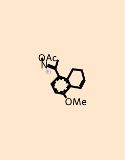 COc1ccc(/C(C)=N/OC(C)=O)c2c1C=CCC2